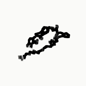 NCOCCOCCOCCn1cc(CNc2ccccc2CNC(=O)CNc2ccc3c(c2)C(=O)N(C2CCC(=O)NC2=O)C3)nn1